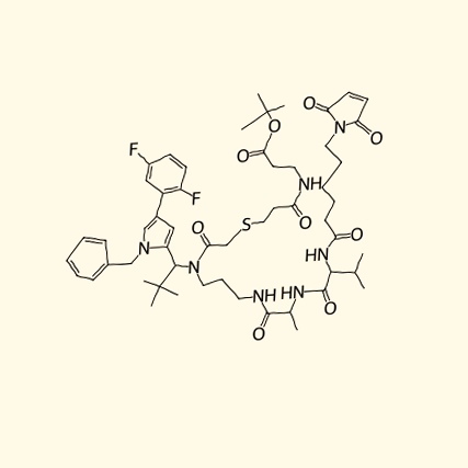 CC(NC(=O)C(NC(=O)CCCCCN1C(=O)C=CC1=O)C(C)C)C(=O)NCCCN(C(=O)CSCCC(=O)NCCC(=O)OC(C)(C)C)C(c1cc(-c2cc(F)ccc2F)cn1Cc1ccccc1)C(C)(C)C